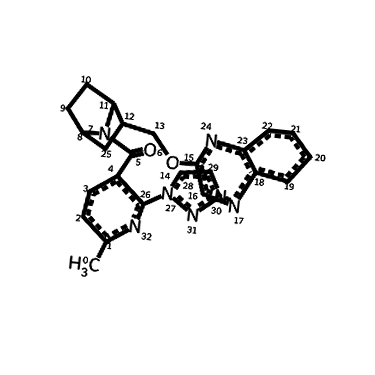 Cc1ccc(C(=O)N2C3CCC2C(COc2cnc4ccccc4n2)C3)c(-n2ccnn2)n1